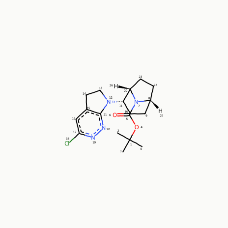 CC(C)(C)OC(=O)N1[C@H]2CC[C@H](N3CCc4cc(Cl)nnc43)[C@@H]1CC2